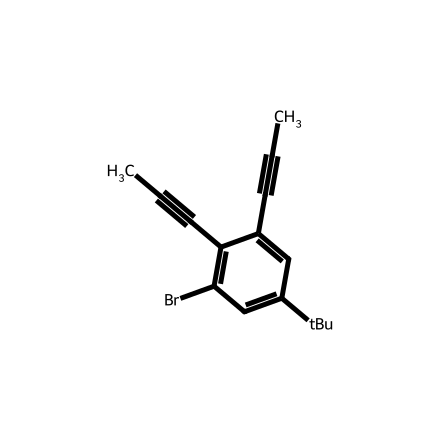 CC#Cc1cc(C(C)(C)C)cc(Br)c1C#CC